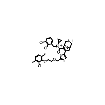 O=C(C1=C(c2cnc(COCCOc3c(F)ccc(F)c3Cl)s2)CC2CNC[C@H]1N2)N(Cc1cccc(Cl)c1Cl)C1CC1